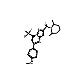 COc1ccc(-c2cc(C(F)(F)F)n3nc(C(=O)N4C(C)CCCC4C)cc3n2)cc1